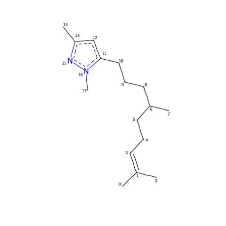 CC(C)=CCCC(C)CCCc1cc(C)nn1C